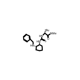 CNC(=O)[C@@H](NC(=S)N[C@H]1CCCC[C@@H]1NCc1ccccc1)C(C)(C)C